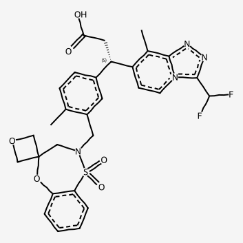 Cc1ccc([C@H](CC(=O)O)c2ccn3c(C(F)F)nnc3c2C)cc1CN1CC2(COC2)Oc2ccccc2S1(=O)=O